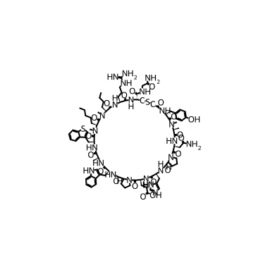 CCCCC[C@H]1C(=O)N(C)[C@@H](CCCC)C(=O)N[C@@H](CCCNC(=N)N)C(=O)N[C@H](C(=O)NCC(N)=O)CSCC(=O)N[C@@H](Cc2ccc(O)cc2)C(=O)N(C)[C@@H](C)C(=O)N[C@@H](CC(N)=O)C(=O)N2CCC[C@H]2C(=O)N[C@@H](Cc2cnc[nH]2)C(=O)N[C@@H](CCC(=O)O)C(=O)N2CCC[C@H]2C(=O)N[C@@H](Cc2c[nH]c3ccccc23)C(=O)N[C@@H](C)C(=O)N[C@@H](Cc2csc3ccccc23)C(=O)N1C